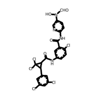 O=CN(O)c1ccc(NC(=O)c2cc(NC(=O)C3C(c4cc(Cl)cc(Cl)c4)C3(Cl)Cl)ccc2Cl)nc1